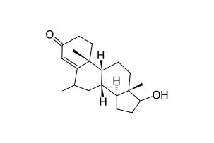 CC1C[C@@H]2[C@@H](CC[C@]3(C)C(O)CC[C@@H]23)[C@@]2(C)CCC(=O)C=C12